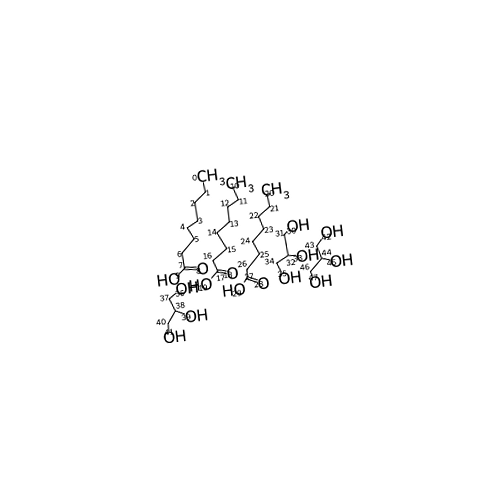 CCCCCCCC(=O)O.CCCCCCCC(=O)O.CCCCCCCC(=O)O.OCC(O)CO.OCC(O)CO.OCC(O)CO